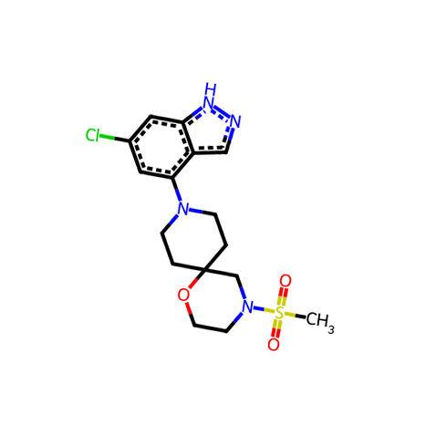 CS(=O)(=O)N1CCOC2(CCN(c3cc(Cl)cc4[nH]ncc34)CC2)C1